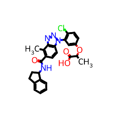 Cc1c(C(=O)NC2CCc3ccccc32)ccc2c1nnn2-c1cc(OC(C)C(=O)O)ccc1Cl